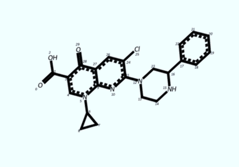 O=C(O)c1cn(C2CC2)c2nc(N3CCNC(c4ccccc4)C3)c(Cl)cc2c1=O